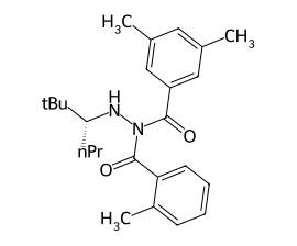 CCC[C@@H](NN(C(=O)c1cc(C)cc(C)c1)C(=O)c1ccccc1C)C(C)(C)C